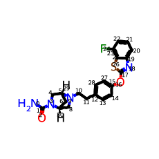 NC(=O)N1C[C@H]2C[C@@H]1CN2CCc1ccc(Oc2nc3cccc(F)c3s2)cc1